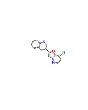 Clc1ccnc2cc(-c3cnc4ccccc4c3)oc12